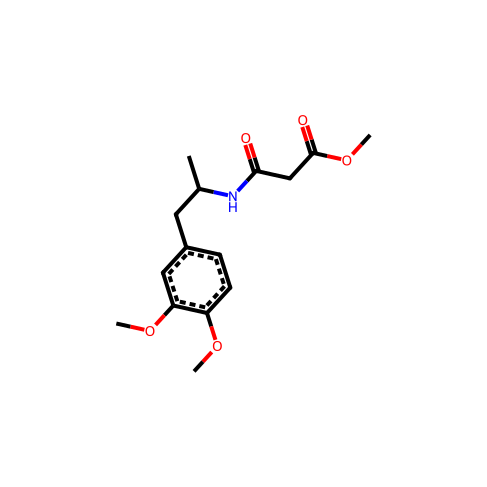 COC(=O)CC(=O)NC(C)Cc1ccc(OC)c(OC)c1